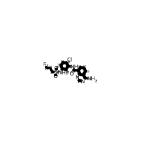 Nc1ncnc2c(C(=O)Nc3c(Cl)ccc(NS(=O)(=O)CCCF)c3F)cccc12